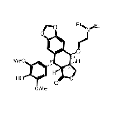 CCN(CC)CCO[C@@H]1c2cc3c(cc2[C@@H](c2cc(OC)c(O)c(OC)c2)[C@H]2C(=O)OC[C@@H]21)OCO3